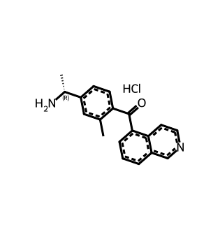 Cc1cc([C@@H](C)N)ccc1C(=O)c1cccc2cnccc12.Cl